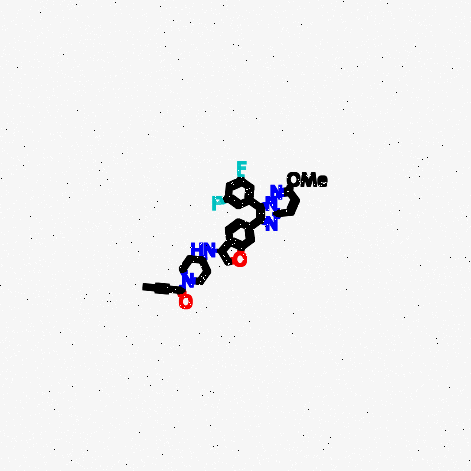 CC#CC(=O)N1CCC(N[C@H]2COc3cc(-c4nc5ccc(OC)nn5c4-c4cc(F)cc(F)c4)ccc32)CC1